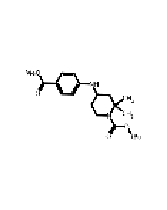 COC(=O)c1ccc(NC2CCN(C(=O)OC(C)(C)C)C(C)(C)C2)cc1